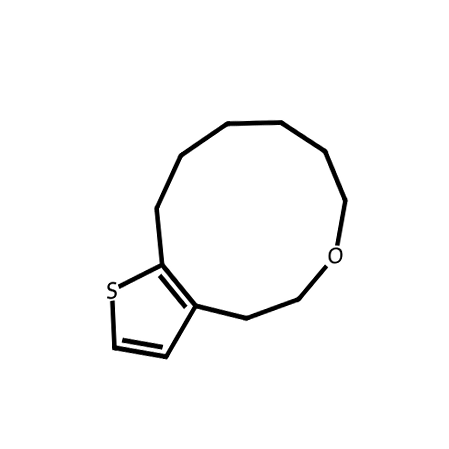 c1cc2c(s1)CCCCCCOCC2